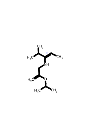 C=C(CN/C(=C\C)C(C)C)OC(C)C